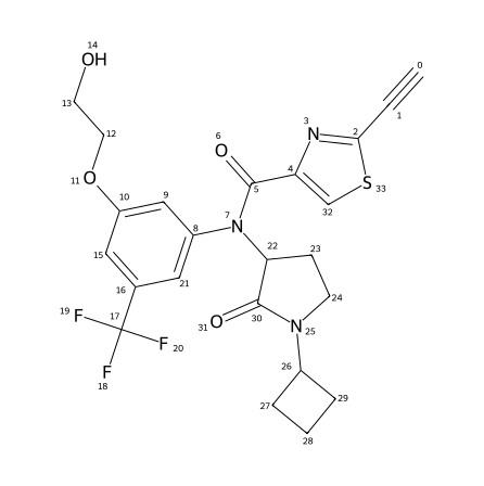 C#Cc1nc(C(=O)N(c2cc(OCCO)cc(C(F)(F)F)c2)C2CCN(C3CCC3)C2=O)cs1